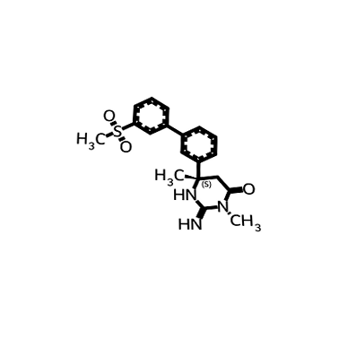 CN1C(=N)N[C@](C)(c2cccc(-c3cccc(S(C)(=O)=O)c3)c2)CC1=O